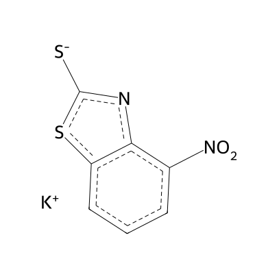 O=[N+]([O-])c1cccc2sc([S-])nc12.[K+]